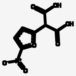 O=C(O)C(C(=O)O)c1ccc([N+](=O)[O-])o1